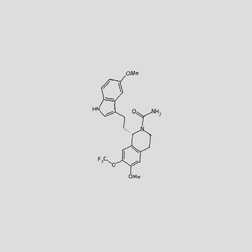 COc1ccc2[nH]cc(CC[C@H]3c4cc(OC(F)(F)F)c(OC)cc4CCN3C(N)=O)c2c1